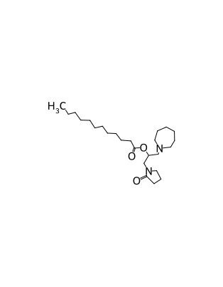 CCCCCCCCCCCC(=O)OC(CN1CCCCCC1)CN1CCCC1=O